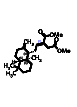 C=C1CC[C@H]2C(C)(C)CCC[C@]2(C)[C@H]1C/C=C(\CC(=O)OC)C(=O)OC